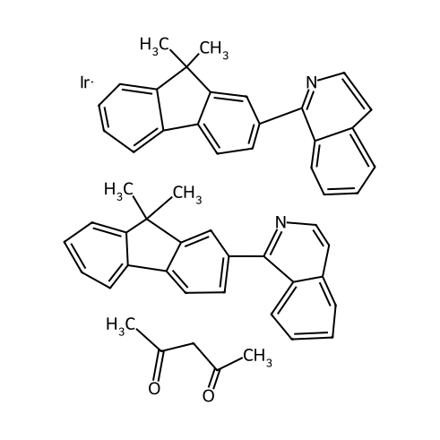 CC(=O)CC(C)=O.CC1(C)c2ccccc2-c2ccc(-c3nccc4ccccc34)cc21.CC1(C)c2ccccc2-c2ccc(-c3nccc4ccccc34)cc21.[Ir]